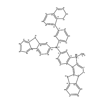 C[SiH]1C2=CCC3C(=C2c2ccc(N(c4cccc(-c5cccc6c5CCC=C6)c4)c4ccc5c(c4)sc4ccccc45)cc21)Sc1ccccc13